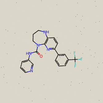 O=C(Nc1cccnc1)N1CCCNc2ccc(-c3cccc(C(F)(F)F)c3)nc21